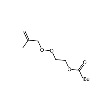 C=C(C)COOCCOC(=O)C(C)CC